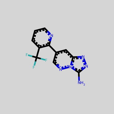 Nc1nnc2cc(-c3ncccc3C(F)(F)F)cnn12